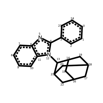 c1ccc(-c2nc3ccccc3n2C2C3CC4CC(C3)CC2C4)cc1